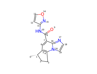 C[C@H]1CCc2c1cc(C(=O)Nc1ccon1)c1nccn21